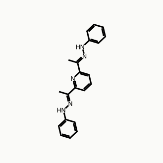 C/C(=N\Nc1ccccc1)c1cccc(/C(C)=N/Nc2ccccc2)n1